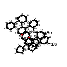 CC(C)(C)c1cc(-c2cccc3cccc(-c4ccccc4N(c4ccccc4-c4ccccc4-c4ccccc4-c4ccccc4)c4cccc5c4c4ccccc4n5-c4ccccc4)c23)cc(C(C)(C)C)c1